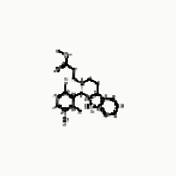 COC(=O)CCN1CCc2c([nH]c3ccccc23)C1c1c(F)ccc(Br)c1C